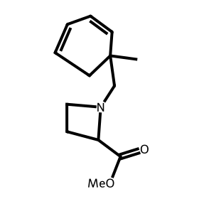 COC(=O)C1CCN1CC1(C)C=CC=CC1